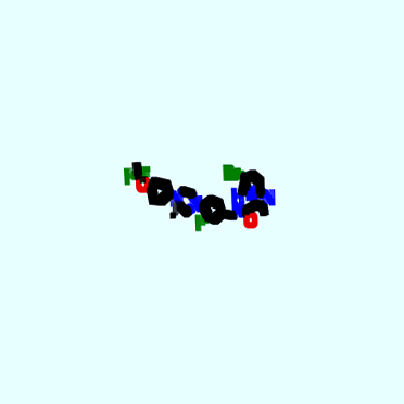 Cc1nc2ccc(Br)cn2c1C(=O)NCc1ccc(N2CCN(c3ccc(OC(C)(F)F)cc3)[C@@H](C)C2)c(F)c1